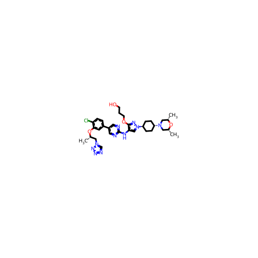 C[C@@H]1CN([C@H]2CC[C@H](n3cc(Nc4ncc(-c5ccc(Cl)c(O[C@@H](C)Cn6cnnn6)c5)cn4)c(OCCCO)n3)CC2)C[C@H](C)O1